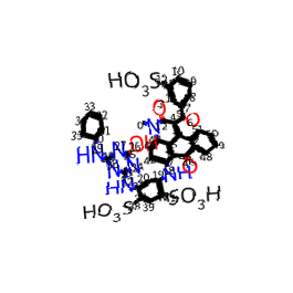 Cn1c(=O)c(C(=O)c2cccc(S(=O)(=O)O)c2)c2c3c(c(Nc4cc(Nc5nc(O)nc(Nc6ccccc6)n5)c(S(=O)(=O)O)cc4S(=O)(=O)O)ccc31)C(=O)c1ccccc1-2